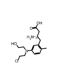 Cc1ccc(N(CCO)CCCl)cc1C[C@H](N)CC(=O)O